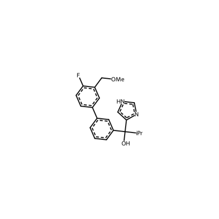 COCc1cc(-c2cccc(C(O)(c3c[nH]cn3)C(C)C)c2)ccc1F